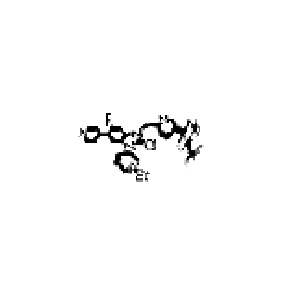 CCN1CCC[C@H](n2c(=O)n(Cc3ccc(-c4nnc(C(F)F)o4)cn3)c3cc(F)c(-c4ccncc4)cc32)C1